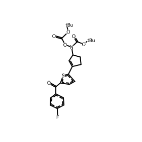 CC(C)(C)OC(=O)ON(C(=O)OC(C)(C)C)C1C=C(c2ccc(C(=O)c3ccc(F)cc3)s2)CC1